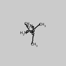 CCCCCCCCCCCC1CCC(c2ccc(C(CCCCCCCCC)c3ccc(N)cc3)cc2)(c2ccc(C(CCCCCCCCC)c3ccc(N)cc3)cc2)CC1